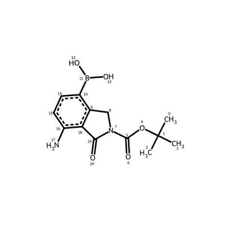 CC(C)(C)OC(=O)N1Cc2c(B(O)O)ccc(N)c2C1=O